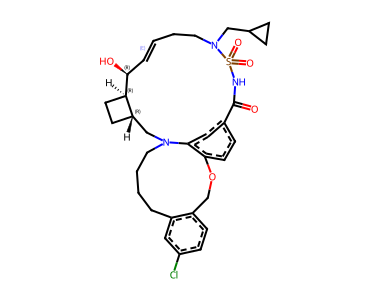 O=C1NS(=O)(=O)N(CC2CC2)CC/C=C/[C@H](O)[C@@H]2CC[C@H]2CN2CCCCc3cc(Cl)ccc3COc3ccc1cc32